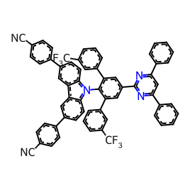 N#Cc1ccc(-c2ccc3c(c2)c2cc(-c4ccc(C#N)cc4)ccc2n3-c2c(-c3cccc(C(F)(F)F)c3)cc(-c3nc(-c4ccccc4)cc(-c4ccccc4)n3)cc2-c2cccc(C(F)(F)F)c2)cc1